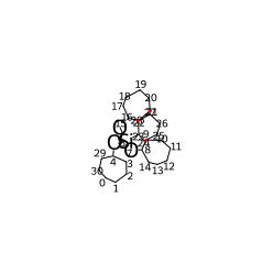 C1CCCC(O[Si](OC2CCCCCC2)(OC2CCCCCC2)C2CCCCC2)CC1